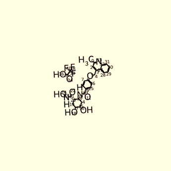 Cc1cc(COc2ccc(C(=O)N[C@@H]3CC(O)C(O)C[C@@H]3C(=O)NO)cc2)c2ccccc2n1.O=C(O)C(F)(F)F